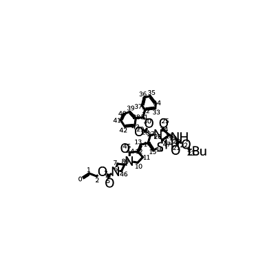 C=CCOC(=O)N1CC(N2CC/C(=C\C3=CS[C@@H]4[C@H](NC(=O)OC(C)(C)C)C(=O)N4[C@H]3C(=O)OC(c3ccccc3)c3ccccc3)C2=O)C1